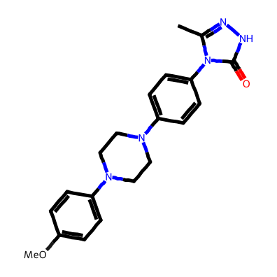 COc1ccc(N2CCN(c3ccc(-n4c(C)n[nH]c4=O)cc3)CC2)cc1